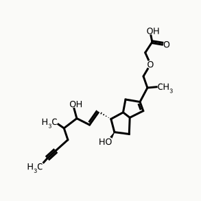 CC#CCC(C)C(O)/C=C/[C@@H]1C2CC(C(C)COCC(=O)O)=CC2C[C@H]1O